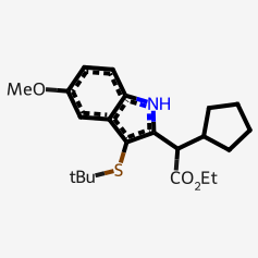 CCOC(=O)C(c1[nH]c2ccc(OC)cc2c1SC(C)(C)C)C1CCCC1